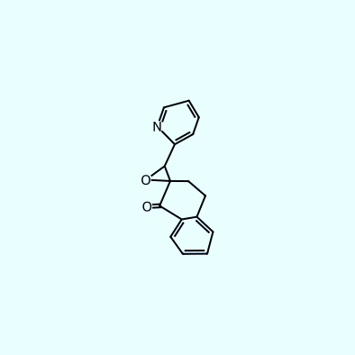 O=C1c2ccccc2CCC12OC2c1ccccn1